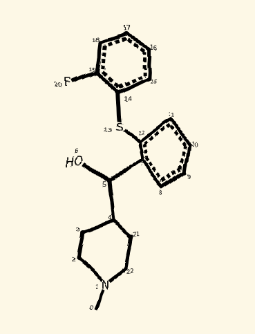 CN1CCC(C(O)c2ccccc2Sc2ccccc2F)CC1